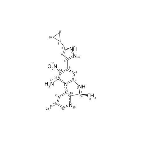 C[C@H](Nc1cc(-c2cc(C3CC3)[nH]n2)c([N+](=O)[O-])c(N)n1)c1ccc(F)cn1